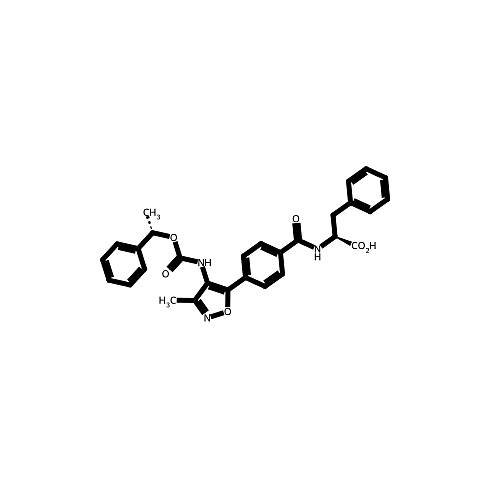 Cc1noc(-c2ccc(C(=O)N[C@@H](Cc3ccccc3)C(=O)O)cc2)c1NC(=O)O[C@@H](C)c1ccccc1